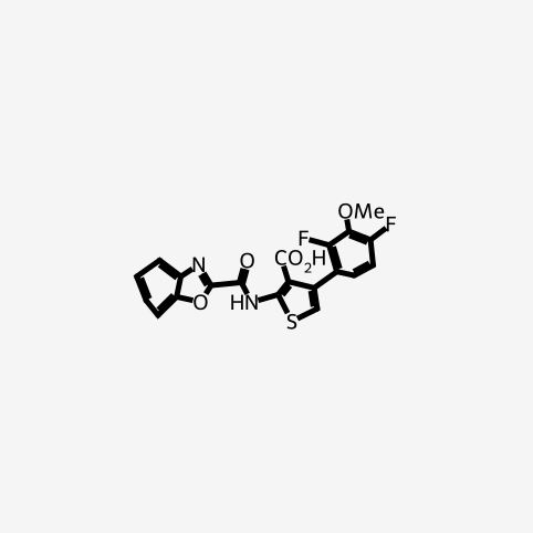 COc1c(F)ccc(-c2csc(NC(=O)c3nc4ccccc4o3)c2C(=O)O)c1F